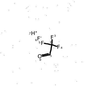 O=CC(F)(F)F.[F-].[H+]